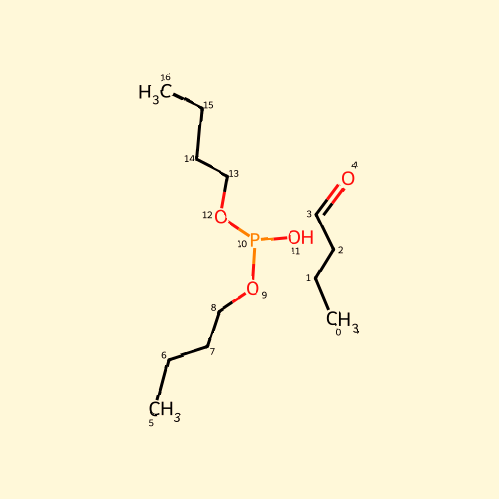 CCCC=O.CCCCOP(O)OCCCC